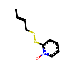 CC=CCSSc1cccc[n+]1[O-]